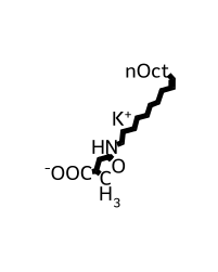 CCCCCCCC/C=C\CCCCCCCCNC(=O)CC(C)C(=O)[O-].[K+]